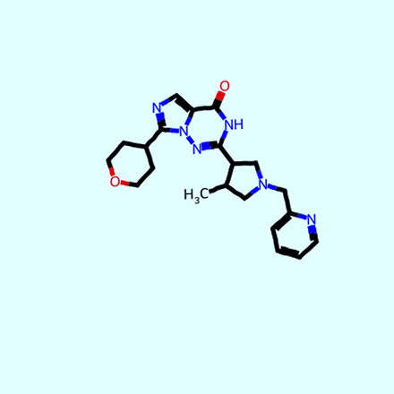 CC1CN(Cc2ccccn2)CC1c1nn2c(C3CCOCC3)ncc2c(=O)[nH]1